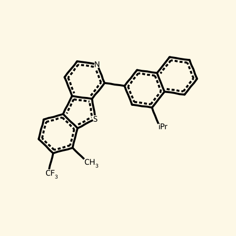 Cc1c(C(F)(F)F)ccc2c1sc1c(-c3cc(C(C)C)c4ccccc4c3)nccc12